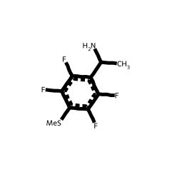 CSc1c(F)c(F)c(C(C)N)c(F)c1F